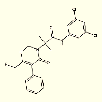 CC(C)(C(=O)Nc1cc(Cl)cc(Cl)c1)N1COC(CF)=C(c2ccccc2)C1=O